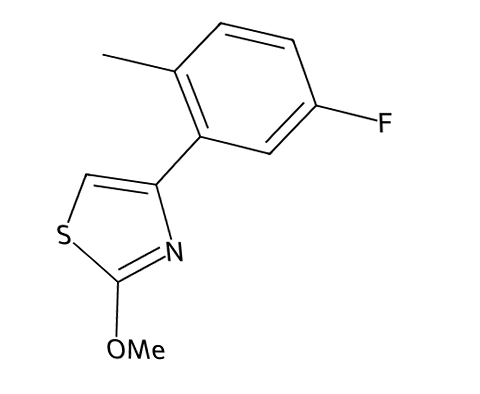 COc1nc(-c2cc(F)ccc2C)cs1